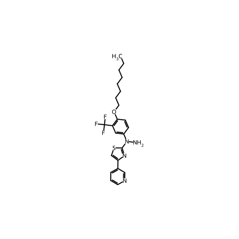 CCCCCCCCOc1ccc(N(N)c2nc(-c3cccnc3)cs2)cc1C(F)(F)F